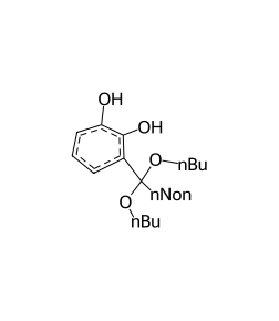 CCCCCCCCCC(OCCCC)(OCCCC)c1cccc(O)c1O